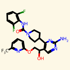 Nc1ncc(C(O)COc2cccc(C(F)(F)F)n2)c(C2CCN(C(=O)Nc3c(F)cccc3F)CC2)n1